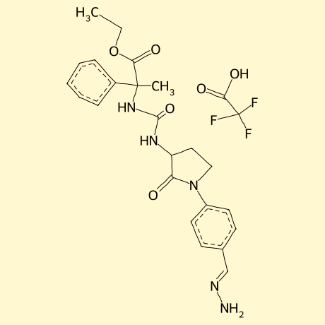 CCOC(=O)C(C)(NC(=O)NC1CCN(c2ccc(C=NN)cc2)C1=O)c1ccccc1.O=C(O)C(F)(F)F